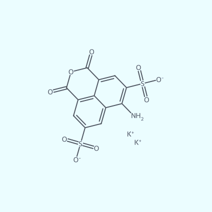 Nc1c(S(=O)(=O)[O-])cc2c3c(cc(S(=O)(=O)[O-])cc13)C(=O)OC2=O.[K+].[K+]